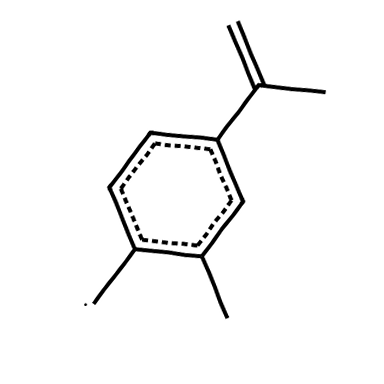 [CH2]c1ccc(C(=C)C)cc1C